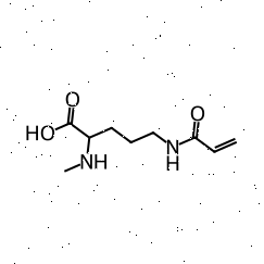 C=CC(=O)NCCCC(NC)C(=O)O